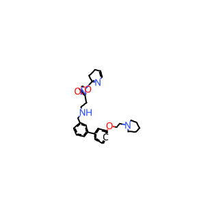 C1=CN=C(N2CC3(CCNCc4cccc(-c5cccc(OCCN6CCCCC6)c5)c4)OC2O3)CC1